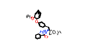 CC(C)Oc1ccccc1Oc1ccc(C=C(NC(=O)c2ccccc2)C(=O)O)cc1